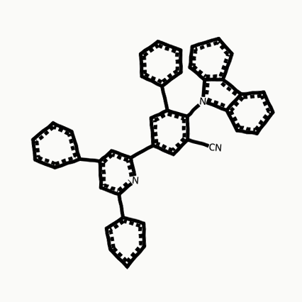 N#Cc1cc(-c2cc(-c3ccccc3)cc(-c3ccccc3)n2)cc(-c2ccccc2)c1-n1c2ccccc2c2ccccc21